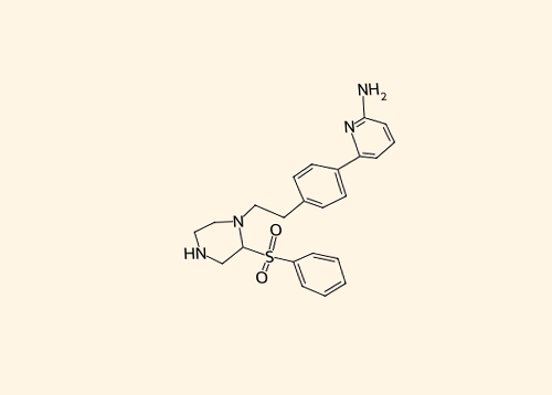 Nc1cccc(-c2ccc(CCN3CCNCC3S(=O)(=O)c3ccccc3)cc2)n1